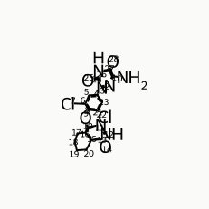 Nc1nn(-c2cc(Cl)c(Oc3n[nH]c(=O)c4c3CCCC4)c(Cl)c2)c(=O)[nH]c1=O